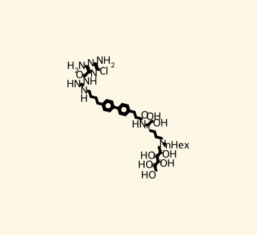 CCCCCCN(CCCC[C@H](NC(=O)CCc1ccc(-c2ccc(CCCCNC(=N)NC(=O)c3nc(Cl)c(N)nc3N)cc2)cc1)C(O)O)C[C@H](O)[C@@H](O)[C@H](O)[C@H](O)CO